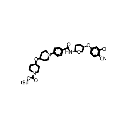 CC(C)(C)OC(=O)N1CCC(OC2CCN(c3ccc(C(=O)N[C@H]4CC[C@H](Oc5ccc(C#N)c(Cl)c5)CC4)cc3)CC2)CC1